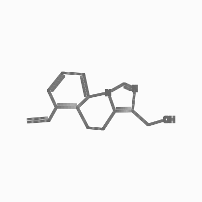 C=Cc1cccc2c1CCc1c(CO)ncn1-2